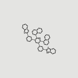 c1cc(-c2cc3ccccc3s2)cc(-c2cc(-c3cccc(-c4nc5ccccc5s4)c3)c(-c3cccc4ccccc34)nc2-c2cccc3ccccc23)c1